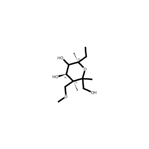 CC[C@@]1(C)OC(C)(CO)[C@@](C)(COC)[C@@H](O)C1O